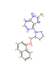 Brc1nc2c(N3CCCC3COc3cccc4ccccc34)ncnc2[nH]1